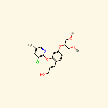 CCOCC(COCC)Oc1ccc(C=CCO)c(Oc2ncc(C(F)(F)F)cc2Cl)c1